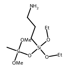 CCO[Si](CCCN)(OCC)O[Si](C)(OC)OC